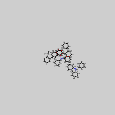 CC1(C)c2ccccc2-c2c(-c3ccccc3N(c3cccc(-c4ccc5c6ccccc6n(-c6ccccc6)c5c4)c3)c3ccccc3-c3ccccc3-c3ccccc3-c3ccccc3)cccc21